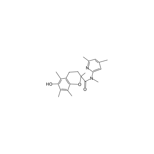 Cc1cc(C)nc(N(C)C(=O)C2(C)CCc3c(C)c(O)c(C)c(C)c3O2)c1